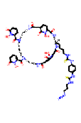 [N-]=[N+]=NCCCNC(=S)Nc1ccc(NC(=S)NCCCC[C@H]2CNC(=O)c3ccc(c(=O)n3O)C(=O)NCCCN(C(=O)c3cccc(=O)n3O)CCCCN(C(=O)c3cccc(=O)n3O)CCCNC(=O)c3ccc(n(O)c3=O)C(=O)N2)cc1